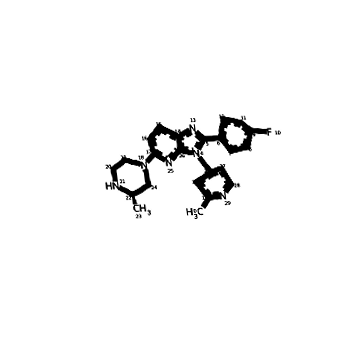 Cc1cc(-n2c(-c3ccc(F)cc3)nc3ccc(N4CCN[C@H](C)C4)nc32)ccn1